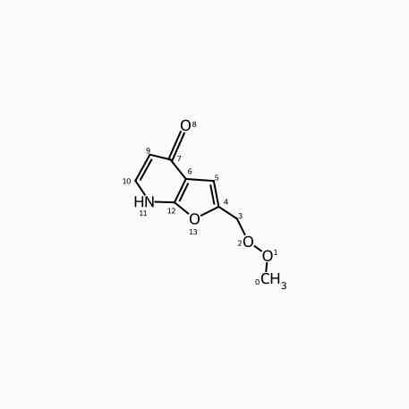 COOCc1cc2c(=O)cc[nH]c2o1